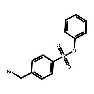 O=S(=O)(Oc1ccccc1)c1ccc(CBr)cc1